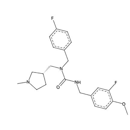 COc1ccc(CNC(=O)N(Cc2ccc(F)cc2)C[C@@H]2CCN(C)C2)cc1F